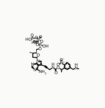 CNCc1ccc([N+](=O)[O-])c(C(C)OC(=O)NCC#Cc2cn([C@H]3C[C@@H](C)[C@@H](COP(=O)(O)OP(=O)(O)OP(=O)(O)O)O3)c3ncnc(N)c23)c1